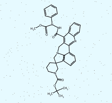 COC(=O)N(NC(=O)c1c(CN2CCC3(CCCN(C(=O)OC(C)(C)C)C3)C2)c(-c2ccccc2)nc2ccccc12)c1ccccc1